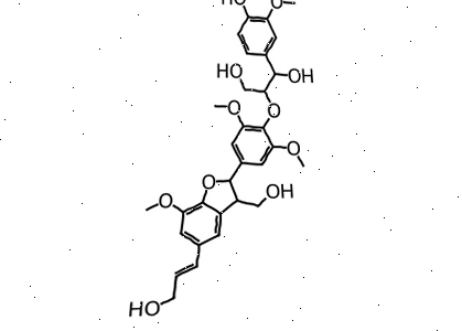 COc1cc(C(O)C(CO)Oc2c(OC)cc(C3Oc4c(OC)cc(/C=C/CO)cc4C3CO)cc2OC)ccc1O